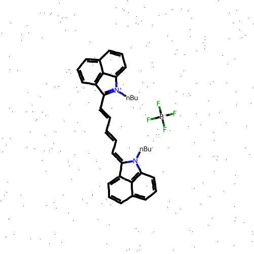 CCCCn1c(=CC=CC=CC2=[N+](CCCC)c3cccc4cccc2c34)c2cccc3cccc1c32.F[B-](F)(F)F